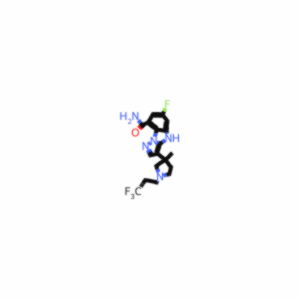 CC1(c2cnn3c2[nH]c2cc(F)cc(C(N)=O)c23)CCN(CCC(F)(F)F)C1